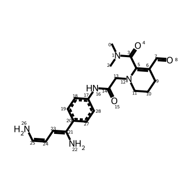 CN(C)C(=O)C1=C(C=O)CCCN1CC(=O)Nc1ccc(/C(N)=C/C=C\N)cc1